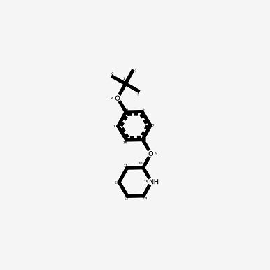 CC(C)(C)Oc1ccc(O[C]2CCCCN2)cc1